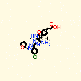 C[C@@]1(c2ccc(CCC(=O)O)cc2)C(=O)Nc2nc(-c3nn(C[C@@H]4CCCCO4)c4cc(Cl)ccc34)nc(N)c21